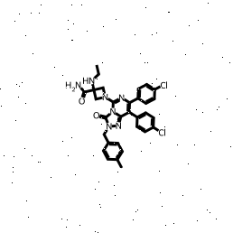 CCNC1(C(N)=O)CN(c2nc(-c3ccc(Cl)cc3)c(-c3ccc(Cl)cc3)c3nn(Cc4ccc(C)cc4)c(=O)n23)C1